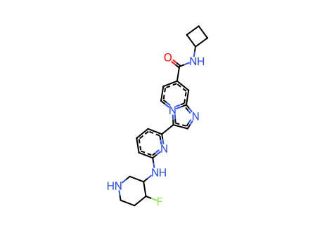 O=C(NC1CCC1)c1ccn2c(-c3cccc(NC4CNCCC4F)n3)cnc2c1